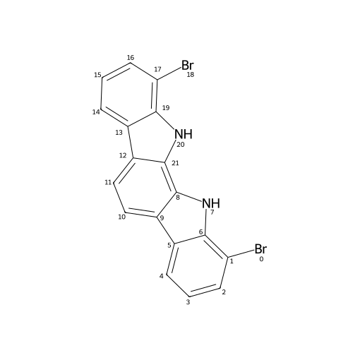 Brc1cccc2c1[nH]c1c2ccc2c3cccc(Br)c3[nH]c21